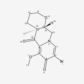 COc1c2n(cc(Br)c1=O)C[C@H]1OCCC[C@]1(C)C2=O